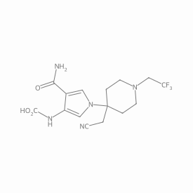 N#CCC1(n2cc(NC(=O)O)c(C(N)=O)c2)CCN(CC(F)(F)F)CC1